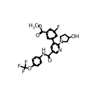 COC(=O)c1cc(F)cc(-c2cc(C(=O)Nc3ccc(OC(F)(F)F)cc3)cnc2N2CC[C@@H](O)C2)c1